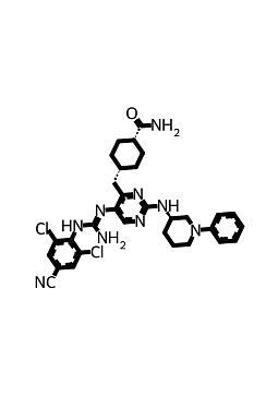 N#Cc1cc(Cl)c(N/C(N)=N/c2cnc(N[C@@H]3CCCN(c4ccccc4)C3)nc2C[C@H]2CC[C@@H](C(N)=O)CC2)c(Cl)c1